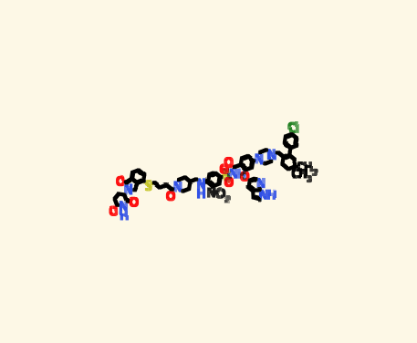 CC1(C)CCC(CN2CCN(c3ccc(C(=O)NS(=O)(=O)c4ccc(NCC5CCN(C(=O)CCCSc6cccc7c6CN(C6CCC(=O)NC6=O)C7=O)CC5)c([N+](=O)[O-])c4)c(Oc4cnc5[nH]ccc5c4)c3)CC2)=C(c2ccc(Cl)cc2)C1